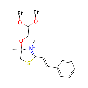 CCOC(COC1(C)CSC(C=Cc2ccccc2)=[N+]1C)OCC